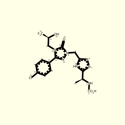 C[C@H](NC(=O)O)c1nnc(Cn2nc(-c3ccc(Cl)cc3)n(C[C@H](O)C(F)(F)F)c2=O)[nH]1